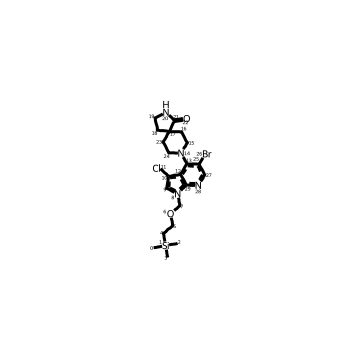 C[Si](C)(C)CCOCn1cc(Cl)c2c(N3CCC4(CCNC4=O)CC3)c(Br)cnc21